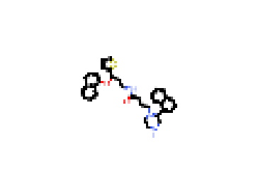 O=C(CCCN1CCNCC1c1cccc2ccccc12)NCCC(Oc1cccc2ccccc12)c1cccs1